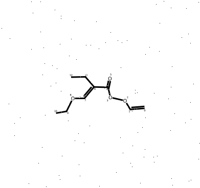 C=COOC(=O)C(=COCC)CC